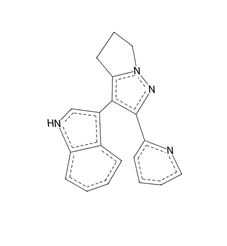 c1ccc(-c2nn3c(c2-c2c[nH]c4ccccc24)CCC3)nc1